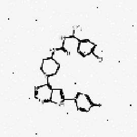 C[C@H](NC(=O)NC1CCN(c2ncnc3[nH]c(-c4ccc(F)cc4)cc23)CC1)c1ccc(Cl)cc1